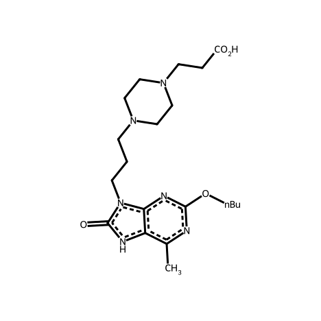 CCCCOc1nc(C)c2[nH]c(=O)n(CCCN3CCN(CCC(=O)O)CC3)c2n1